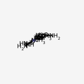 C[C@]12CCC(OCCCN)CC1CC[C@@H]1[C@H]2CC[C@]2(C)C(/C=N/OCCCNC(=N)N)CC[C@@]12O